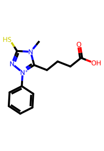 Cn1c(S)n[n+](-c2ccccc2)c1CCCC(=O)O